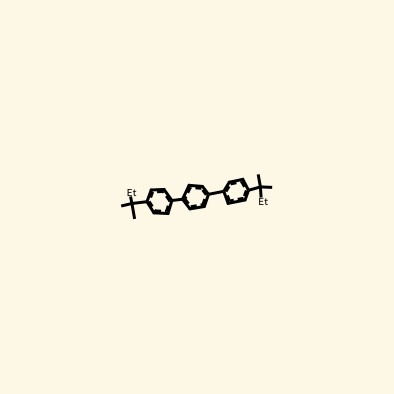 CCC(C)(C)c1ccc(-c2ccc(-c3ccc(C(C)(C)CC)cc3)cc2)cc1